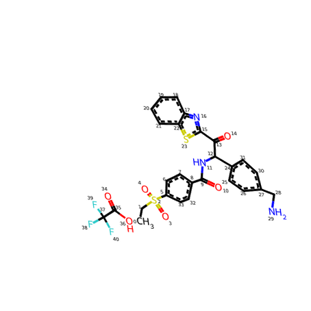 CCS(=O)(=O)c1ccc(C(=O)NC(C(=O)c2nc3ccccc3s2)c2ccc(CN)cc2)cc1.O=C(O)C(F)(F)F